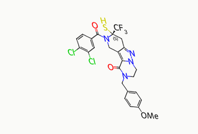 COc1ccc(CN2CCn3nc4c(c3C2=O)CN(C(=O)c2ccc(Cl)c(Cl)c2)[C@@](S)(C(F)(F)F)C4)cc1